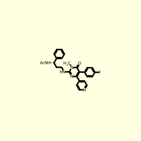 CC(=O)N[C@@H](CCNc1nc(-c2ccncc2)c(-c2ccc(F)cc2)c(=O)n1C)c1ccccc1